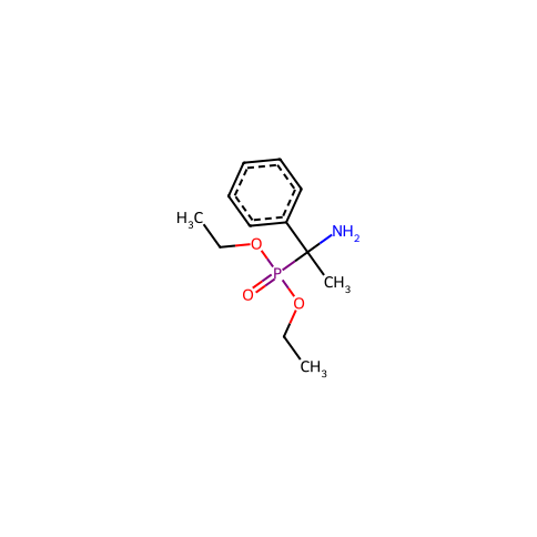 CCOP(=O)(OCC)C(C)(N)c1ccccc1